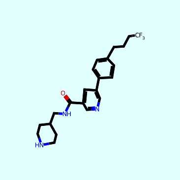 O=C(NCC1CCNCC1)c1cncc(-c2ccc(CCCC(F)(F)F)cc2)c1